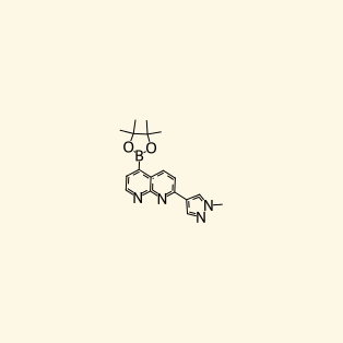 Cn1cc(-c2ccc3c(B4OC(C)(C)C(C)(C)O4)ccnc3n2)cn1